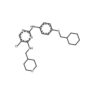 Clc1cnc(Nc2ccc(OCC3CCCCC3)cc2)nc1NCC1CCOCC1